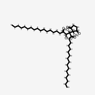 CCCCCCCCCCCCCCCCC(=O)C(O)C(O)(C(=O)CCCCCCCCCCCCCCCC)C1(O)C(=O)CCC1=O